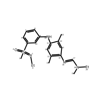 CCN=S(C)(=O)c1cccc(Nc2cc(C)c(N=CN(C)CC)cc2C)c1